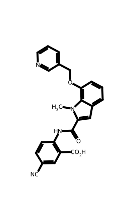 Cn1c(C(=O)Nc2ccc(C#N)cc2C(=O)O)cc2cccc(OCc3cccnc3)c21